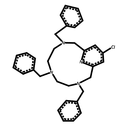 Clc1cc2nc(c1)CN(Cc1ccccc1)CCN(Cc1ccccc1)CCN(Cc1ccccc1)C2